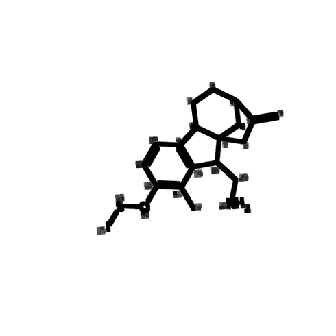 C=C1CC23CC1CCC2c1ccc(OSI)c(C)c1C3CN